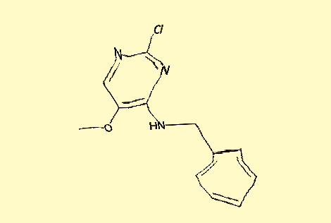 COc1cnc(Cl)nc1NCc1ccccc1